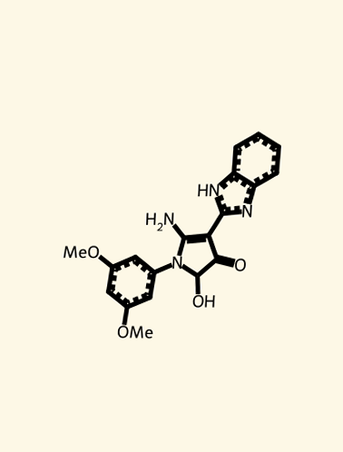 COc1cc(OC)cc(N2C(N)=C(c3nc4ccccc4[nH]3)C(=O)C2O)c1